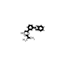 C=C(C)C(=O)OC(CO)c1cccc(-n2nc3ccccc3n2)c1